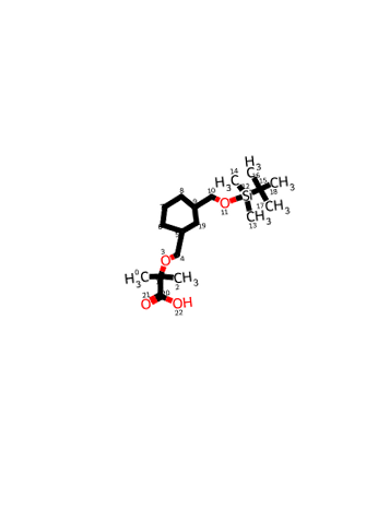 CC(C)(OCC1CCCC(CO[Si](C)(C)C(C)(C)C)C1)C(=O)O